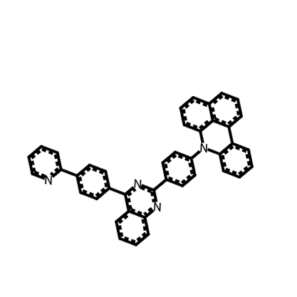 c1ccc(-c2ccc(-c3nc(-c4ccc(N5c6ccccc6-c6cccc7cccc5c67)cc4)nc4ccccc34)cc2)nc1